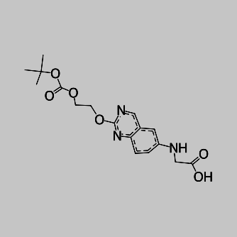 CC(C)(C)OC(=O)OCCOc1ncc2cc(NCC(=O)O)ccc2n1